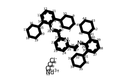 CC(=Nc1c(C2CCCCC2)cccc1C1CCCCC1)c1cccc(C(C)=Nc2c(C3CCCCC3)cccc2C2CCCCC2)n1.[Cl-].[Cl-].[Cl-].[Nd+3]